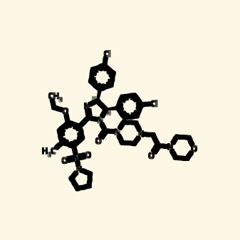 CCOc1cc(C)c(S(=O)(=O)N2CCCC2)cc1C1=N[C@@H](c2ccc(Cl)cc2)[C@@H](c2ccc(Cl)cc2)N1C(=O)N1CCN(CC(=O)N2CCOCC2)CC1